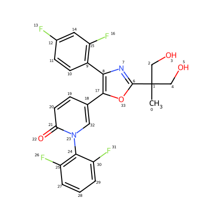 CC(CO)(CO)c1nc(-c2ccc(F)cc2F)c(-c2ccc(=O)n(-c3c(F)cccc3F)c2)o1